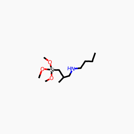 CCCCNCC(C)C[Si](OC)(OC)OC